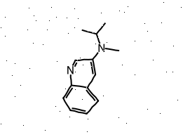 CC(C)N(C)c1cnc2ccccc2c1